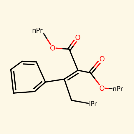 CCCOC(=O)C(C(=O)OCCC)=C(CC(C)C)c1ccccc1